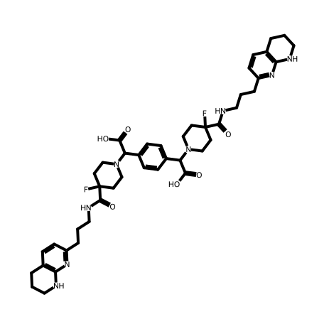 O=C(O)C(c1ccc(C(C(=O)O)N2CCC(F)(C(=O)NCCCc3ccc4c(n3)NCCC4)CC2)cc1)N1CCC(F)(C(=O)NCCCc2ccc3c(n2)NCCC3)CC1